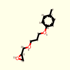 Cc1ccc(OCCCOCC2CO2)cc1